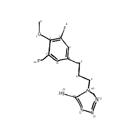 COc1c(F)cc(CCCn2nnnc2S)cc1F